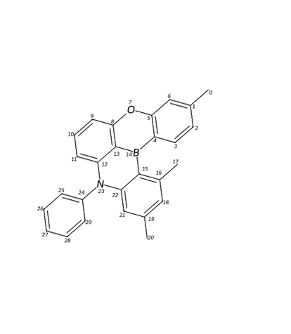 Cc1ccc2c(c1)Oc1cccc3c1B2c1c(C)cc(C)cc1N3c1ccccc1